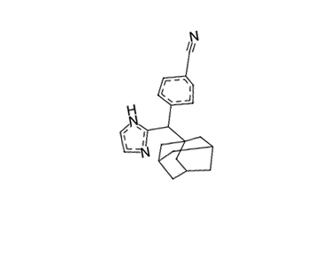 N#Cc1ccc(C(c2ncc[nH]2)C23CC4CC(CC(C4)C2)C3)cc1